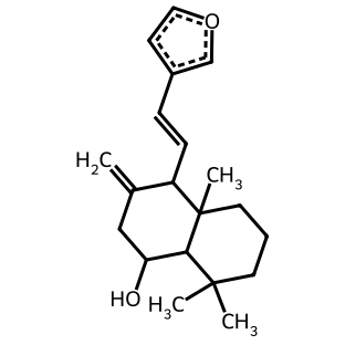 C=C1CC(O)C2C(C)(C)CCCC2(C)C1C=Cc1ccoc1